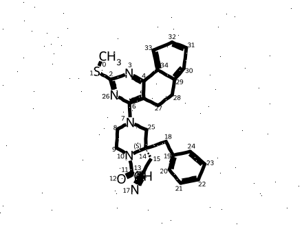 CSc1nc2c(c(N3CCN(C(=O)O)[C@](CC#N)(Cc4ccccc4)C3)n1)CCc1ccccc1-2